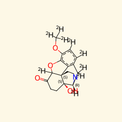 [2H]c1c([2H])c2c3c(c1OC([2H])([2H])[2H])OC1([2H])C(=O)CC[C@]4(O)[C@@]31CCN(C)[C@]4([2H])C2([2H])[2H]